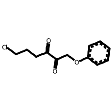 O=C(CCCCl)C(=O)COc1ccccc1